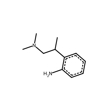 CC(CN(C)C)c1ccccc1N